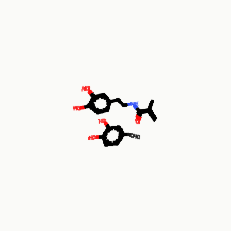 C=C(C)C(=O)NCCc1ccc(O)c(O)c1.O=Cc1ccc(O)c(O)c1